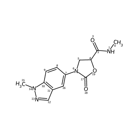 CNC(=O)C1CN(c2ccc3c(cnn3C)c2)C(=O)O1